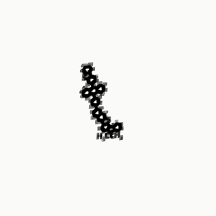 CC1(C)c2ccccc2-c2c1ccc1c2sc2cc3cc(-c4ccc(-c5c6ccccc6c(-c6ccc7c(c6)sc6ccccc67)c6ccccc56)cc4)ccc3cc21